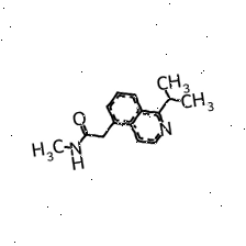 CNC(=O)Cc1cccc2c(C(C)C)nccc12